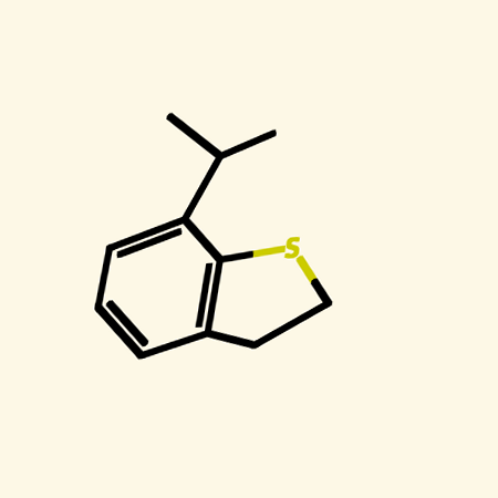 CC(C)c1cccc2c1SCC2